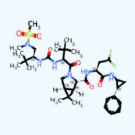 CN(C[C@@H](NC(=O)N[C@H](C(=O)N1C[C@H]2[C@@H]([C@H]1C(=O)N[C@@H](CC(F)F)C(=O)NC1C[C@@H]1c1ccccc1)C2(C)C)C(C)(C)C)C(C)(C)C)S(C)(=O)=O